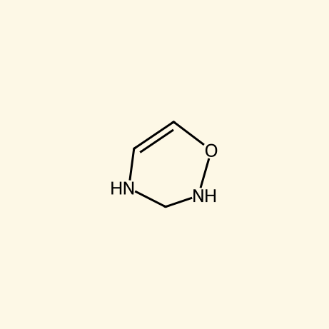 C1=CONCN1